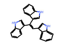 C(=C(c1c[nH]c2ccccc12)c1c[nH]c2ccccc12)c1c[nH]c2ccccc12